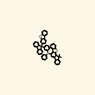 CC1(C)c2ccccc2-c2cc(N(c3ccccc3)c3cccc(C4(c5ccc6c(c5)oc5ccccc56)c5ccccc5-c5ccccc54)c3)c3c(sc4ccccc43)c21